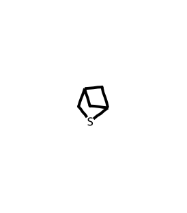 C1SC2CC1C2